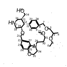 CCOC(C)COCc1ccc([C@H]2[C@H](CO)CNC[C@@H]2OCc2ccc3c(c2)N(CCCOC)CCO3)cc1